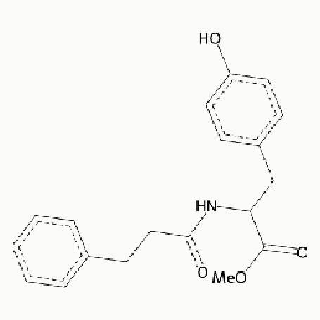 COC(=O)C(Cc1ccc(O)cc1)NC(=O)CCc1ccccc1